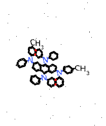 Cc1ccc(N(c2ccccc2)c2ccc3c(N(c4ccccc4)c4ccccc4)c4cc(N(c5ccccc5)c5ccc(C)cc5)ccc4c(N(c4ccccc4)c4ccccc4)c3c2)cc1